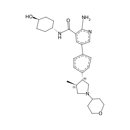 C[C@@H]1CN(C2CCOCC2)C[C@H]1c1ccc(-c2cnc(N)c(C(=O)N[C@H]3CC[C@H](O)CC3)c2)cc1